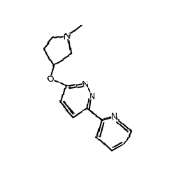 CN1CCC(Oc2ccc(-c3ccccn3)nn2)C1